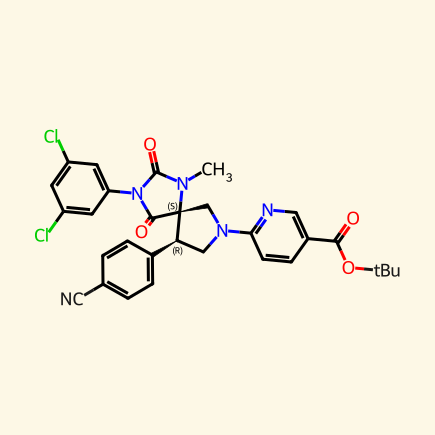 CN1C(=O)N(c2cc(Cl)cc(Cl)c2)C(=O)[C@]12CN(c1ccc(C(=O)OC(C)(C)C)cn1)C[C@H]2c1ccc(C#N)cc1